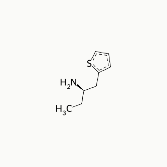 CC[C@@H](N)Cc1cccs1